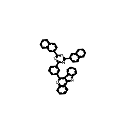 c1cc(-c2nc(-c3ccc4ccccc4c3)nc(-c3ccc4ccccc4c3)n2)cc(-c2oc3ccccc3c3nc4ccccc4c2-3)c1